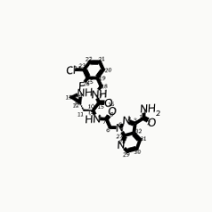 NC(=O)c1nn(CC(=O)N[C@@H](C[C@@H]2CN2)C(=O)NCc2cccc(Cl)c2F)c2ncccc12